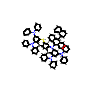 c1ccc(N(c2ccccc2)c2cc3c4c(c2)N(c2ccccc2)c2ccccc2B4c2cc4c(cc2S3)N(c2c3ccccc3c(-c3cccc5ccccc35)c3ccccc23)c2cc(N(c3ccccc3)c3ccccc3)cc3c2B4c2ccccc2N3c2ccccc2)cc1